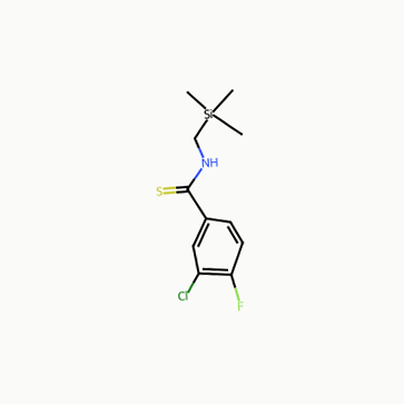 C[Si](C)(C)CNC(=S)c1ccc(F)c(Cl)c1